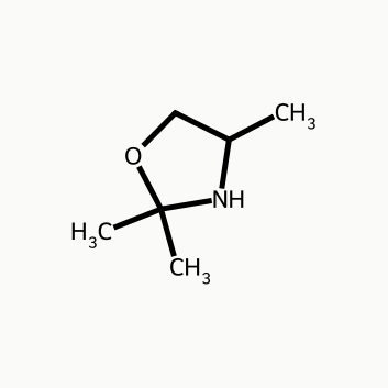 CC1COC(C)(C)N1